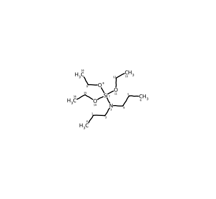 CCCN(CCC)[Si](OCC)(OCC)OCC